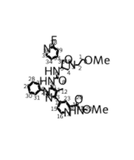 COCCN1C[C@@H](NC(=O)Nc2c(C)c(-c3ccnc(C(=O)NOC)c3)nn2-c2ccccc2)[C@H](c2ccnc(F)c2)O1